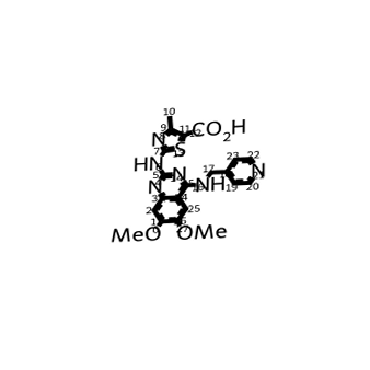 COc1cc2nc(Nc3nc(C)c(C(=O)O)s3)nc(NCc3ccncc3)c2cc1OC